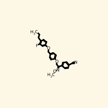 CCCc1ccc(OCc2ccc(OC/C(=N\OC)c3ccc(C#N)cc3)cc2)cc1F